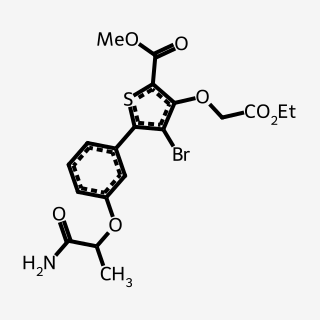 CCOC(=O)COc1c(C(=O)OC)sc(-c2cccc(OC(C)C(N)=O)c2)c1Br